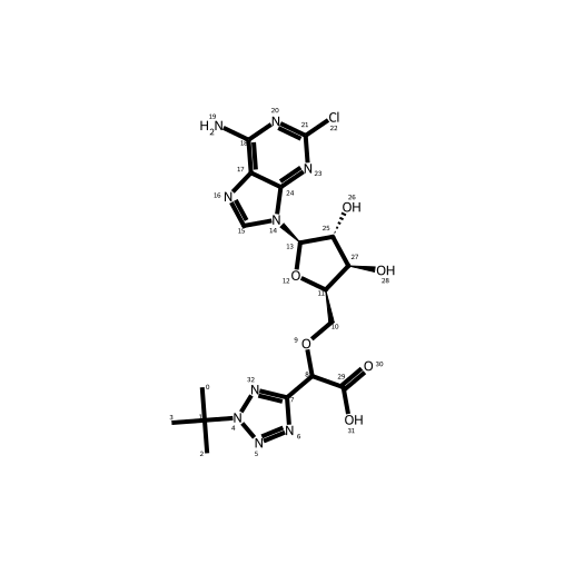 CC(C)(C)n1nnc(C(OC[C@H]2O[C@@H](n3cnc4c(N)nc(Cl)nc43)[C@H](O)[C@H]2O)C(=O)O)n1